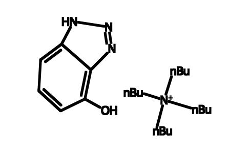 CCCC[N+](CCCC)(CCCC)CCCC.Oc1cccc2[nH]nnc12